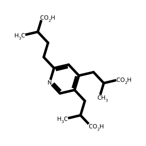 CC(CCc1cc(CC(C)C(=O)O)c(CC(C)C(=O)O)cn1)C(=O)O